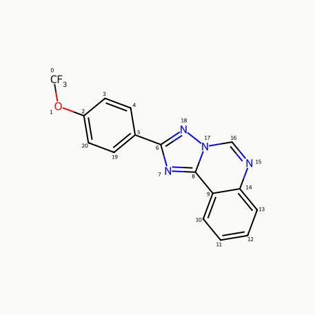 FC(F)(F)Oc1ccc(-c2nc3c4ccccc4ncn3n2)cc1